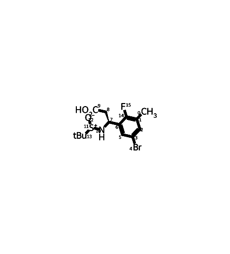 Cc1cc(Br)cc([C@H](CC(=O)O)N[S+]([O-])C(C)(C)C)c1F